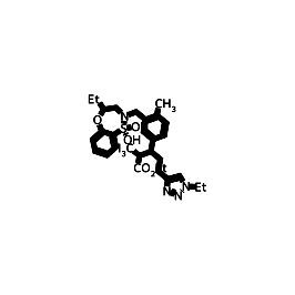 CCOC(=O)C(C)C(CCc1cn(CC)nn1)c1ccc(C)c(CN2CC(CC)Oc3ccccc3S2(O)O)c1